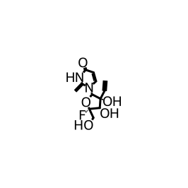 C#C[C@]1(O)[C@H](N2C=CC(=O)NC2=C)O[C@](F)(CO)[C@H]1O